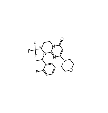 CC(c1ccccc1F)N1c2nc(N3CCOCC3)cc(=O)n2CC[C@H]1C(F)(F)F